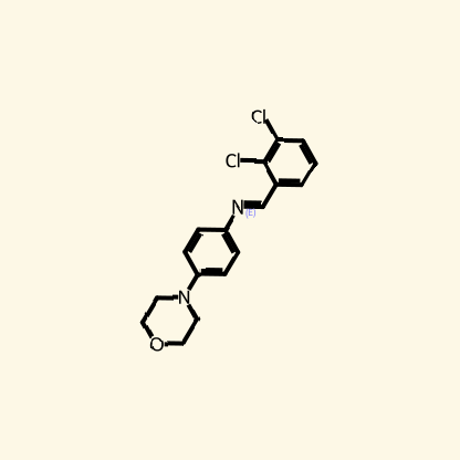 Clc1cccc(/C=N/c2ccc(N3CCOCC3)cc2)c1Cl